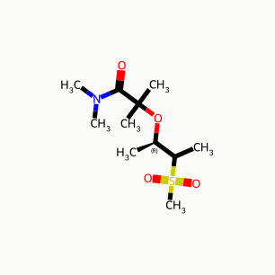 CC([C@@H](C)OC(C)(C)C(=O)N(C)C)S(C)(=O)=O